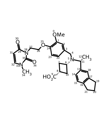 COc1cc(CN([C@H]2C[C@@H](C(=O)O)C2)[C@H](C)c2ccc3c(c2)CCC3)ccc1OCCn1c(=O)ccn(C)c1=O